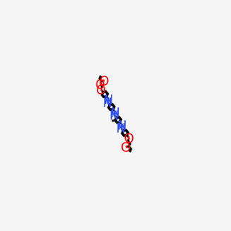 C=CC(=O)CCOc1ccc(N=Nc2ccc(N=Nc3ccc(N=Nc4ccc(OCOC(=O)C=C)cc4)cc3)c(C)c2)cc1